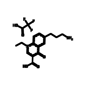 CCn1cc(C(=O)O)c(=O)c2cc(CCCN)ccc21.O=C(O)C(F)(F)F